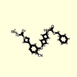 CC(C)(C)OC(=O)N1CC(c2ccc(C#N)c(OC3CC4(CC(NC(=O)OCc5ccccc5)C4)C3)c2)C1